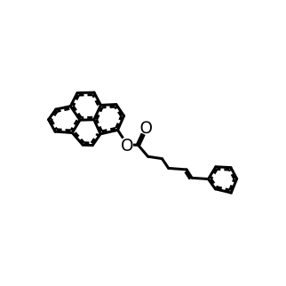 O=C(CCCC=Cc1ccccc1)Oc1ccc2ccc3cccc4ccc1c2c34